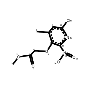 COC(=O)COc1c(C)cc(Cl)nc1[N+](=O)[O-]